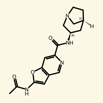 CC(=O)Nc1cc2cnc(C(=O)N[C@@H]3C[C@@H]4CCN(C4)C3)cc2o1